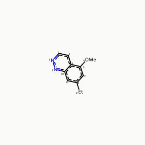 CCc1cc(OC)c2ccnnc2c1